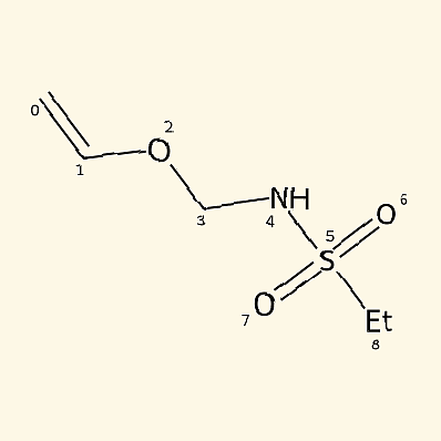 C=COCNS(=O)(=O)CC